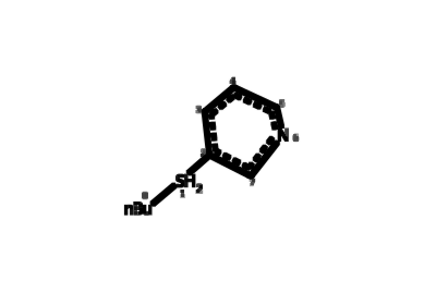 CCCC[SH2]c1cccnc1